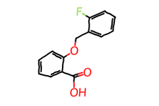 O=C(O)c1ccccc1OCc1ccccc1F